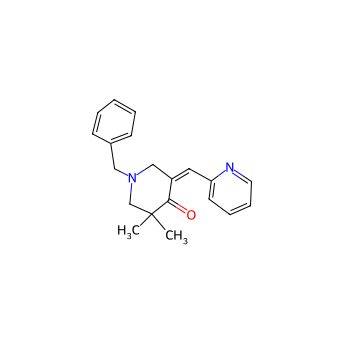 CC1(C)CN(Cc2ccccc2)CC(=Cc2ccccn2)C1=O